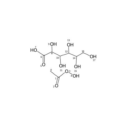 CC(=O)OO.O=C(O)C(O)C(O)C(O)C(O)CO